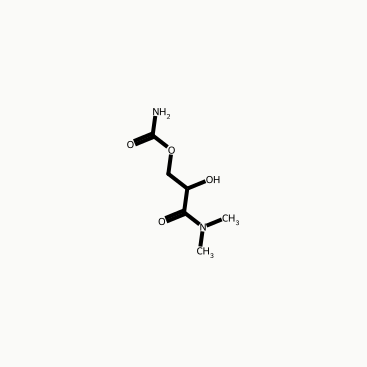 CN(C)C(=O)C(O)COC(N)=O